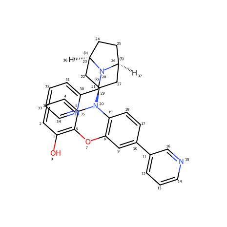 Oc1cccc2c1Oc1cc(-c3cccnc3)ccc1N2[C@H]1C[C@H]2CC[C@@H](C1)N2Cc1ccccn1